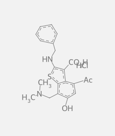 CC(=O)c1cc(O)c(CN(C)C)c2sc(NCc3ccccc3)c(C(=O)O)c12.Cl